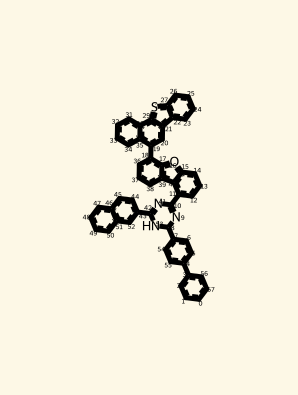 c1ccc(-c2ccc(C3N=C(c4cccc5oc6c(-c7cc8c9ccccc9sc8c8ccccc78)cccc6c45)N=C(c4ccc5ccccc5c4)N3)cc2)cc1